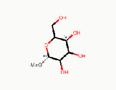 CO[C@@H]1OC(CO)[C@@H](O)C(O)C1O